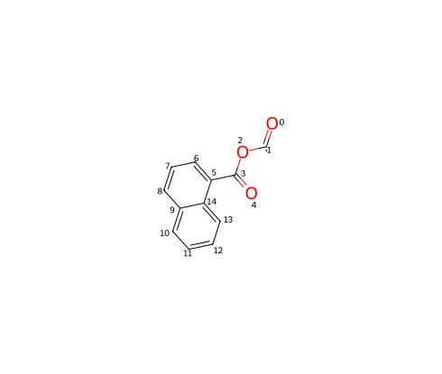 O=[C]OC(=O)c1cccc2ccccc12